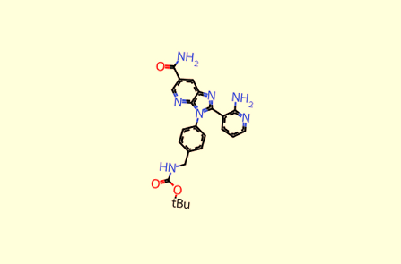 CC(C)(C)OC(=O)NCc1ccc(-n2c(-c3cccnc3N)nc3cc(C(N)=O)cnc32)cc1